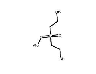 CC(C)(C)N=S(=O)(CCO)CCO